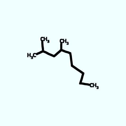 CCCCCC(C)CC(C)C